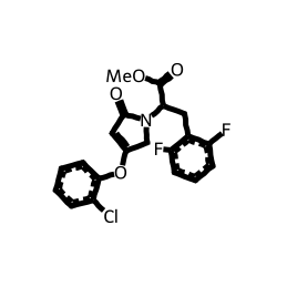 COC(=O)C(Cc1c(F)cccc1F)N1CC(Oc2ccccc2Cl)=CC1=O